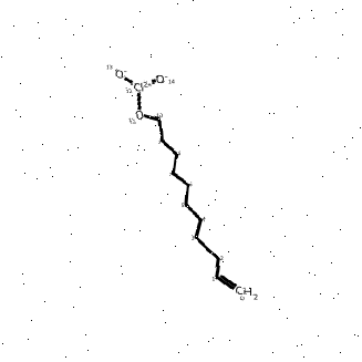 C=CCCCCCCCCCO[Cl+2]([O-])[O-]